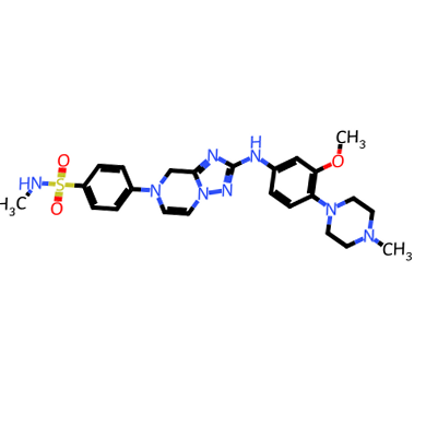 CNS(=O)(=O)c1ccc(N2C=Cn3nc(Nc4ccc(N5CCN(C)CC5)c(OC)c4)nc3C2)cc1